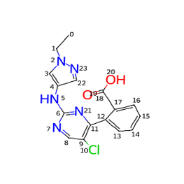 CCn1cc(Nc2ncc(Cl)c(-c3ccccc3C(=O)O)n2)cn1